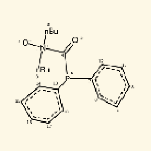 CCCC[N+]([O-])(CCCC)C(=O)P(c1ccccc1)c1ccccc1